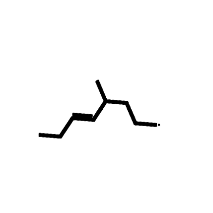 [CH2]CCC(C)C=CCC